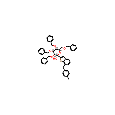 Cc1ccc(Cc2cccc3cc([C@]4(O)O[C@H](COCc5ccccc5)[C@@H](OCc5ccccc5)[C@H](OCc5ccccc5)[C@H]4OCc4ccccc4)sc23)cc1